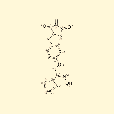 O=C1NC(=O)C(Cc2ccc(OCC(=NO)c3ccccn3)cc2)S1